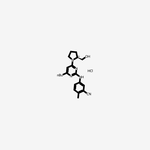 CCCCc1cc(N2CCC[C@H]2CO)nc(Nc2ccc(C)c(C#N)c2)n1.Cl